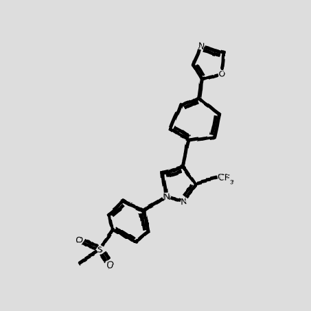 CS(=O)(=O)c1ccc(-n2cc(-c3ccc(-c4cnco4)cc3)c(C(F)(F)F)n2)cc1